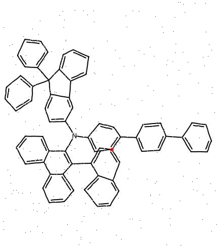 c1ccc(-c2ccc(-c3ccc(N(c4ccc5c(c4)-c4ccccc4C5(c4ccccc4)c4ccccc4)c4c(-c5cccc6ccccc56)c5ccccc5c5ccccc45)cc3)cc2)cc1